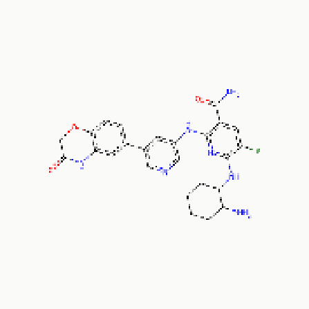 NC(=O)c1cc(F)c(NC2CCCCC2N)nc1Nc1cncc(-c2ccc3c(c2)NC(=O)CO3)c1